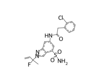 C=CC(C)(F)n1cc2c(S(N)(=O)=O)cc(NC(=O)Cc3ccccc3Cl)cc2n1